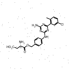 Cc1ccc(Cl)cc1-c1nc(N)nc(Nc2ccc(COC(=O)[C@@H](N)CC(=O)O)cc2)n1